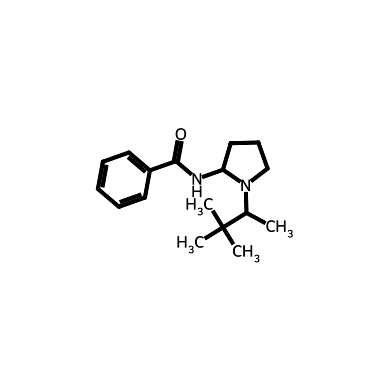 CC(N1CCCC1NC(=O)c1ccccc1)C(C)(C)C